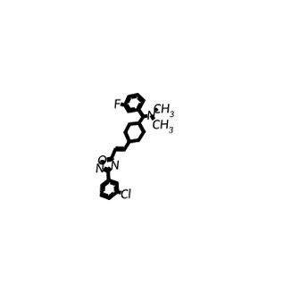 CN(C)C(c1cccc(F)c1)C1CCC(C=Cc2nc(-c3cccc(Cl)c3)no2)CC1